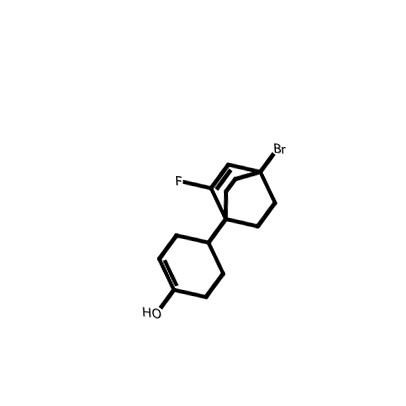 OC1=CCC(C23CCC(Br)(C=C2F)CC3)CC1